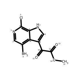 Bc1cnc(Cl)c2[nH]cc(C(=O)C(=O)OC)c12